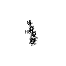 CN(c1cnc(-c2ccc(-n3cnnc3)cc2O)nn1)[C@H]1C[C@]2(C)CC[C@@](C)(N2)[C@H]1F